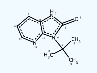 CC(C)(C)n1c(=O)[nH]c2cccnc21